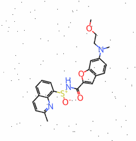 COCCN(C)c1ccc2cc(C(=O)N[S+]([O-])c3cccc4ccc(C)nc34)oc2c1